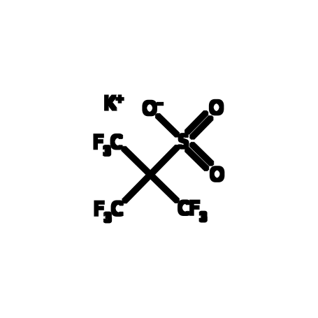 O=S(=O)([O-])C(C(F)(F)F)(C(F)(F)F)C(F)(F)F.[K+]